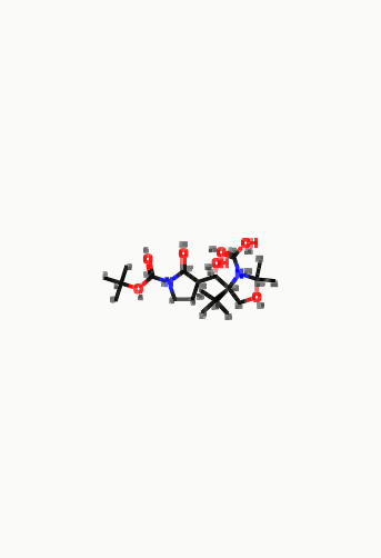 CC(C)(C)OC(=O)N1CCC([C@H](O)[C@@]2(C(C)(C)C)COC(C)(C)N2C(=O)O)C1=O